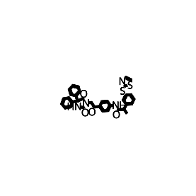 CC(C(=O)Nc1ccc(C(=O)CN2C(=O)NC(c3ccccc3)(c3ccccc3)C2=O)cc1)c1cccc(Sc2nccs2)c1